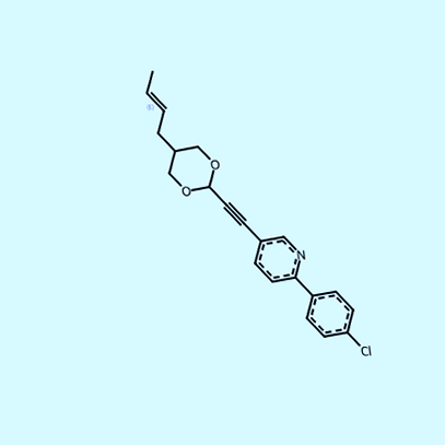 C/C=C/CC1COC(C#Cc2ccc(-c3ccc(Cl)cc3)nc2)OC1